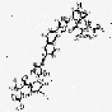 COC(=O)N[C@H](C(=O)N1C[C@H](C)C[C@H]1c1ncc(C#Cc2ccc3cc(-c4cnc([C@@H]5C[C@H]6C[C@H]6N5C(=O)[C@@H](NC(=O)OC)C(C)C)[nH]4)ccc3c2)[nH]1)C(C)C